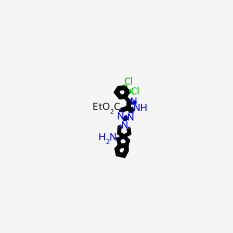 CCOC(=O)c1nc(N2CCC3(CC2)Cc2ccccc2[C@H]3N)nc2[nH]nc(-c3cccc(Cl)c3Cl)c12